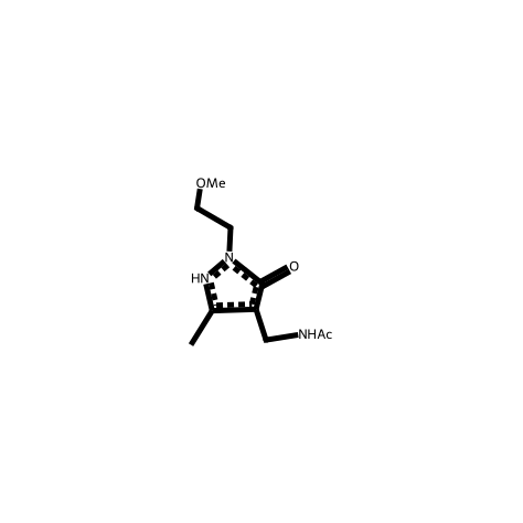 COCCn1[nH]c(C)c(CNC(C)=O)c1=O